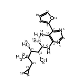 CCC(C)[C@@H](Nc1ncnc(-c2ccco2)c1N)[C@H](O)[C@H](O)[C@H](C)CC1CC1